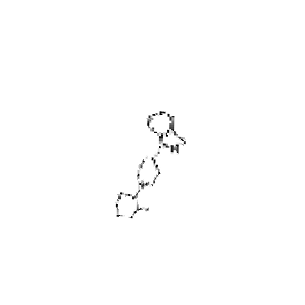 CC1CCCCC1N1CCN(c2nsc3ccccc23)CC1